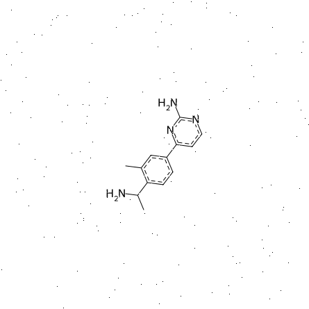 Cc1cc(-c2ccnc(N)n2)ccc1C(C)N